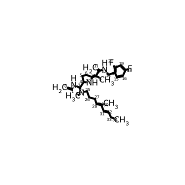 C=CNC(C1CC/C(=C(/C)C(=C)NCc2ccc(F)cc2F)N1)N(C)CCC/C=C(C)/C=C/CC